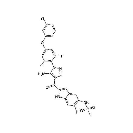 Cc1cc(Oc2cccc(Cl)c2)cc(F)c1-n1ncc(C(=O)c2cc3cc(NS(C)(=O)=O)c(F)cc3[nH]2)c1N